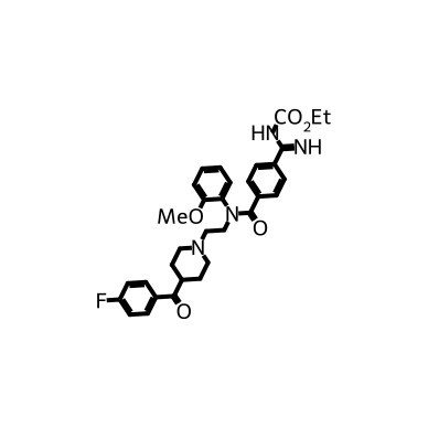 CCOC(=O)NC(=N)c1ccc(C(=O)N(CCN2CCC(C(=O)c3ccc(F)cc3)CC2)c2ccccc2OC)cc1